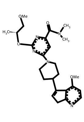 COC[C@@H](C)Oc1nc(C(=O)N(C)C)cc(N2CCC(C3=CCc4nccc(OC)c43)CC2)n1